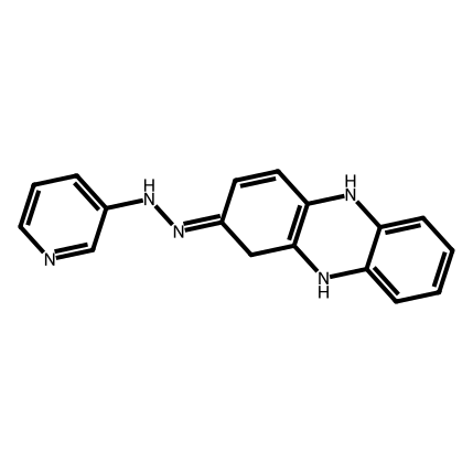 C1=CC2=C(CC1=NNc1cccnc1)Nc1ccccc1N2